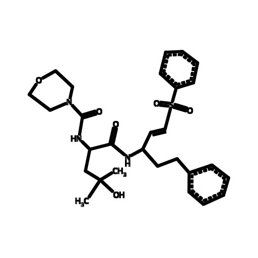 CC(C)(O)CC(NC(=O)N1CCOCC1)C(=O)NC(C=CS(=O)(=O)c1ccccc1)CCc1ccccc1